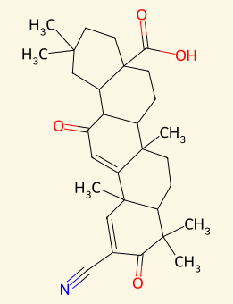 CC1(C)CCC2(C(=O)O)CCC3C(C(=O)C=C4C5(C)C=C(C#N)C(=O)C(C)(C)C5CCC43C)C2C1